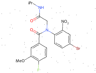 COc1cc(C(=O)N(CC(=O)NC(C)C)c2ccc(Br)cc2[N+](=O)[O-])ccc1F